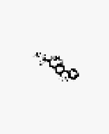 COC(=O)C(N)Cc1ccc(-c2ccccc2)c(OC)c1